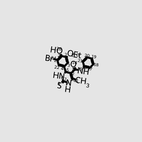 CCOc1cc(C2NC(=S)NC(C)=C2C(=O)Nc2ccccc2)cc(Br)c1O